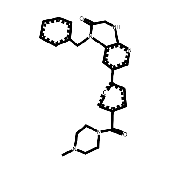 CN1CCN(C(=O)c2ccc(-c3cnc4c(c3)N(Cc3ccccc3)C(=O)CN4)cc2)CC1